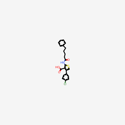 O=C(CCCCc1ccccc1)Nc1scc(-c2ccc(Cl)cc2)c1C(=O)O